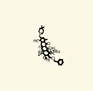 Cc1cc(CN2CCC(C)(C)CC2)c(C#N)c2c1C(=O)C1=C(O)[C@]3(O[Si](C)(C)C(C)(C)C)C(=O)c4c(OCc5ccccc5)noc4[C@@H](N(C)C)[C@@H]3C[C@@H]1C2